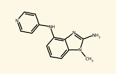 Cn1c(N)nc2c(Nc3ccncc3)cccc21